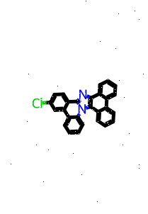 Clc1ccc2c(c1)c1ccccc1n1c2nc2c3ccccc3c3ccccc3c21